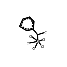 ClC(c1ccccc1)S(Cl)(Cl)(Cl)(Cl)Cl